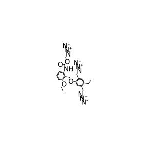 CCOc1cccc(NC(=O)OCN=[N+]=[N-])c1COc1cc(CN=[N+]=[N-])c(CC)cc1CN=[N+]=[N-]